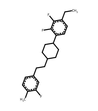 CCc1ccc(C2CCC(CCc3ccc(C)c(F)c3)CC2)c(F)c1F